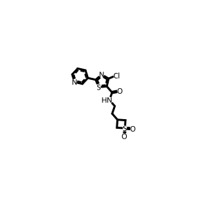 O=C(NCCC1CS(=O)(=O)C1)c1sc(-c2cccnc2)nc1Cl